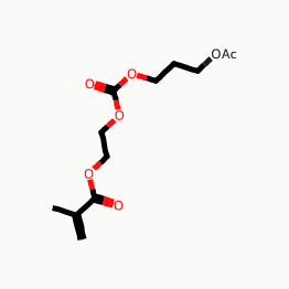 C=C(C)C(=O)OCCOC(=O)OCCCOC(C)=O